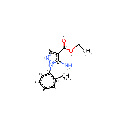 CCOC(=O)c1cnn(-c2ccccc2C)c1N